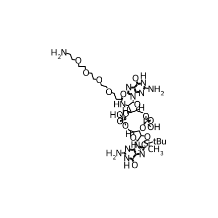 CC(C)(C)[Si](C)(C)OC1C2OP(=O)(O)OC[C@H]3O[C@@H](n4cnc5c(=O)[nH]c(N)nc54)C(NC(=O)CCOCCOCCOCCOCCN)[C@H]3OP(=O)(O)OC[C@H]2O[C@H]1n1cnc2c(=O)[nH]c(N)nc21